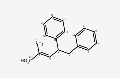 CC(=CC(Cc1ccccc1)c1ccccc1)C(=O)O